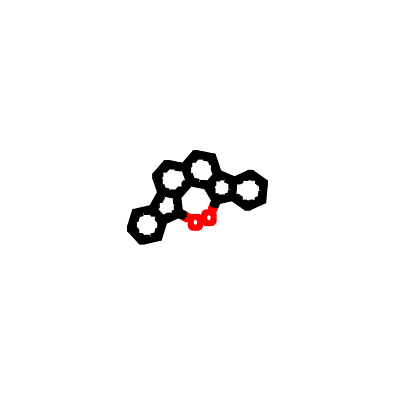 O=c1c2ccccc2c2ccc3ccc4c5ccccc5c(=O)c4c3c12